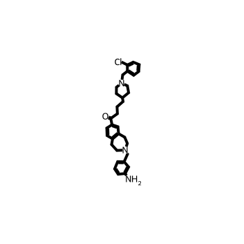 Nc1cccc(CN2CCc3ccc(C(=O)CCCC4CCN(Cc5ccccc5Cl)CC4)cc3CC2)c1